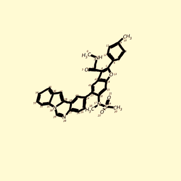 CNC(=O)c1c(-c2ccc(C)cc2)oc2cc(N(C)S(C)(=O)=O)c(-c3ccc4ncn5c6ccccc6cc5c4c3)cc12